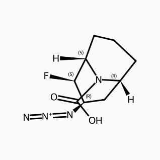 [N-]=[N+]=N[C@@H]1C[C@H]2CCC[C@@H]([C@@H]1F)N2C(=O)O